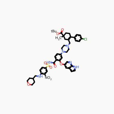 CC(C)(C)OC(=O)C1(C)CCC(c2ccc(Cl)cc2)=C(CN2CCN(c3ccc(C(=O)NS(=O)(=O)c4ccc(NCC5CCOCC5)c([N+](=O)[O-])c4)c(Oc4cnc5[nH]ccc5c4)c3)CC2)C1